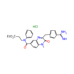 CCOC(=O)CCN(C(=O)c1ccc2c(c1)nc(Cc1ccc(C(=N)N)cc1)c(=O)n2C)c1ccccc1.Cl